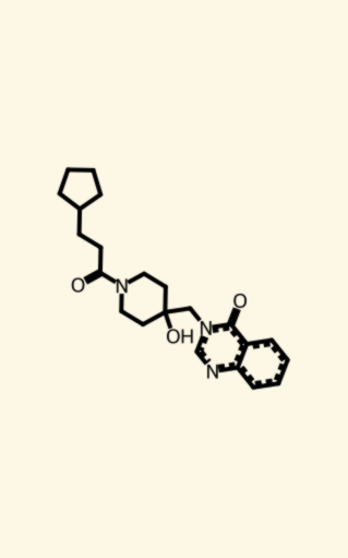 O=C(CCC1CCCC1)N1CCC(O)(Cn2cnc3ccccc3c2=O)CC1